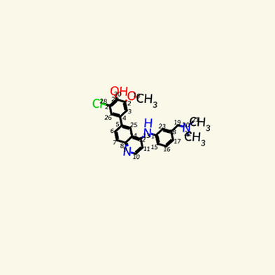 COc1cc(-c2ccc3nccc(Nc4cccc(CN(C)C)c4)c3c2)cc(Cl)c1O